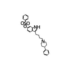 O=S(=O)(Oc1ccc2c(CCCCN3CCC(c4ccccc4)CC3)c[nH]c2c1)c1ccccc1